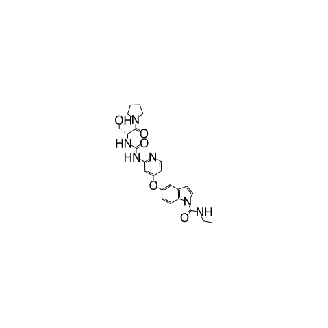 CCNC(=O)n1ccc2cc(Oc3ccnc(NC(=O)N[C@H](CO)C(=O)N4CCCC4)c3)ccc21